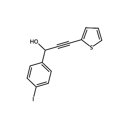 OC(C#Cc1cccs1)c1ccc(I)cc1